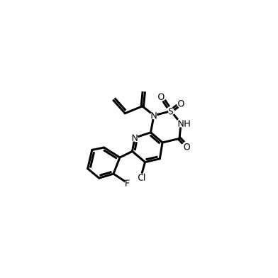 C=CC(=C)N1c2nc(-c3ccccc3F)c(Cl)cc2C(=O)NS1(=O)=O